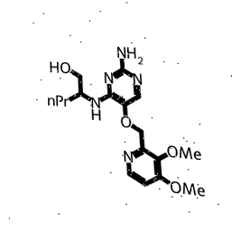 CCCC(CO)Nc1nc(N)ncc1OCc1nccc(OC)c1OC